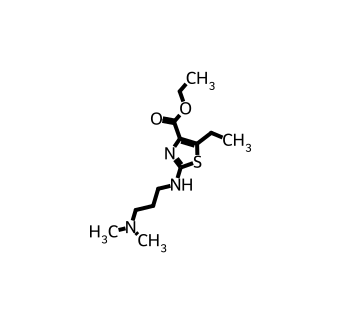 CCOC(=O)c1nc(NCCCN(C)C)sc1CC